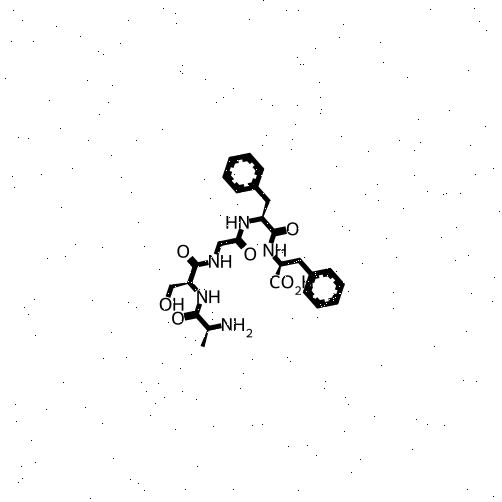 C[C@H](N)C(=O)N[C@@H](CO)C(=O)NCC(=O)N[C@@H](Cc1ccccc1)C(=O)N[C@@H](Cc1ccccc1)C(=O)O